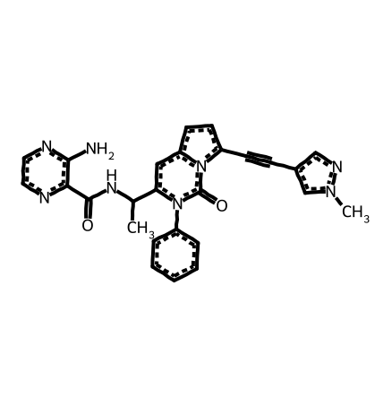 CC(NC(=O)c1nccnc1N)c1cc2ccc(C#Cc3cnn(C)c3)n2c(=O)n1-c1ccccc1